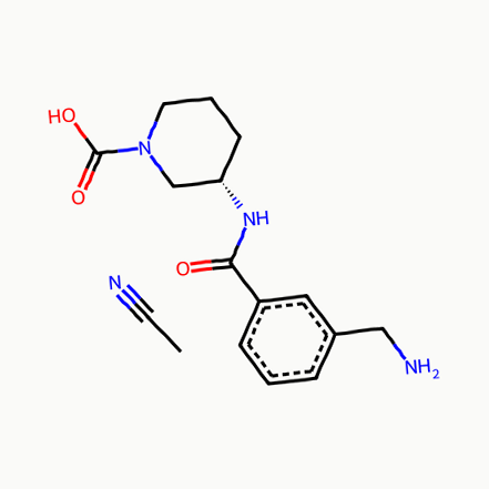 CC#N.NCc1cccc(C(=O)N[C@H]2CCCN(C(=O)O)C2)c1